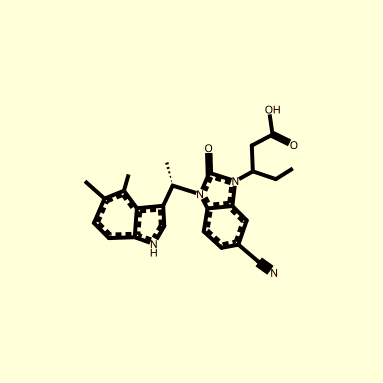 CCC(CC(=O)O)n1c(=O)n([C@@H](C)c2c[nH]c3ccc(C)c(C)c23)c2ccc(C#N)cc21